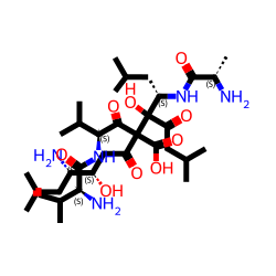 CC(C)CC(=O)C(O)([C@H](CC(C)C)NC(=O)[C@H](C)N)C(C(=O)O)(C(=O)C[C@H](O)[C@@H](N)CC(C)C)C(=O)[C@@H](NC(=O)[C@@H](N)C(C)C)C(C)C